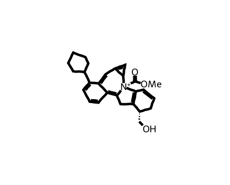 COC(=O)[N+]12C3=C(CC1=c1cccc(C4CCCCC4)c1=CC1=CC12)[C@@H](CO)CC=C3